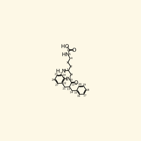 NC(CCCNC(=O)O)CNC(=O)C(Cc1ccccc1)Cc1ccccc1